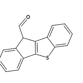 O=CC1c2ccccc2-c2sc3ccccc3c21